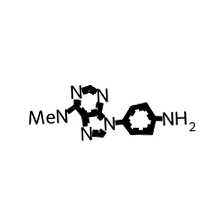 CNc1ncnc2c1ncn2-c1ccc(N)cc1